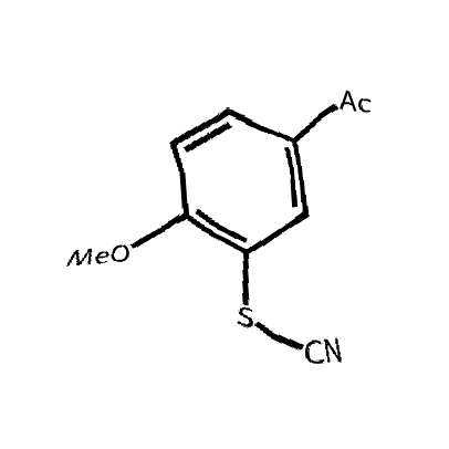 COc1ccc(C(C)=O)cc1SC#N